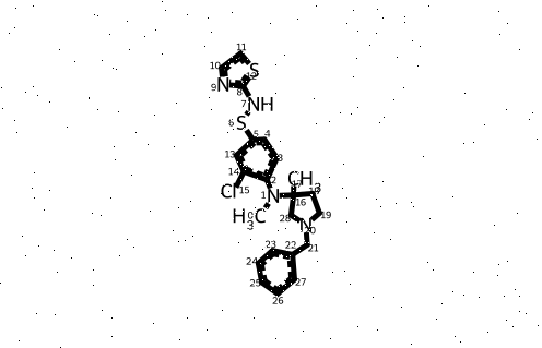 CN(c1ccc(SNc2nccs2)cc1Cl)C1(C)CCN(Cc2ccccc2)C1